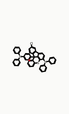 Clc1ccc2c(c1)-c1ccc(N(c3ccccc3)c3ccccc3)c3c1C2(c1ccc(N(c2ccccc2)c2ccccc2)cc1)c1ccccc1S3